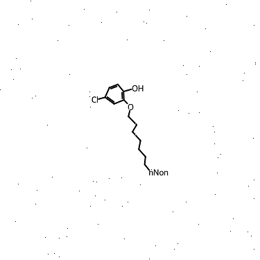 CCCCCCCCCCCCCCCCOc1cc(Cl)ccc1O